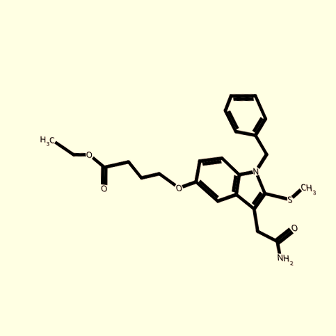 CCOC(=O)CCCOc1ccc2c(c1)c(CC(N)=O)c(SC)n2Cc1ccccc1